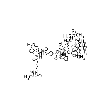 CC[C@H](C)[C@@H]([C@@H](CC(=O)N1CCC[C@H]1[C@H](CO)[C@@H](C)C(=O)N[C@@H](Cc1ccccc1)C(=O)Cc1ccc(NC(=O)[C@H](CCCCN)NC(=O)[C@@H](CC(=O)CCCCCN2C(=O)CC(C)C2=O)Cc2ccccc2)cc1)OC)N(C)C(=O)[C@@H](CC(=O)C(C(C)C)N(C)C)C(C)C